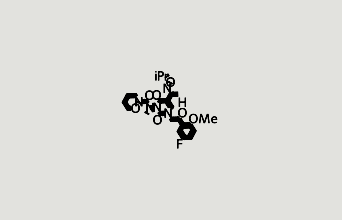 COc1ccc(F)cc1C(O)Cn1cc(/C(C)=N/OC(C)C)c(=O)n(N(C)C(=O)N2CCCCO2)c1=O